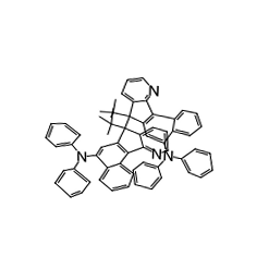 CC(C)(C)C1(C2(C(C)(C)C)c3cccnc3-c3c2cc(N(c2ccccc2)c2ccccc2)c2ccccc32)c2cccnc2-c2c1cc(N(c1ccccc1)c1ccccc1)c1ccccc21